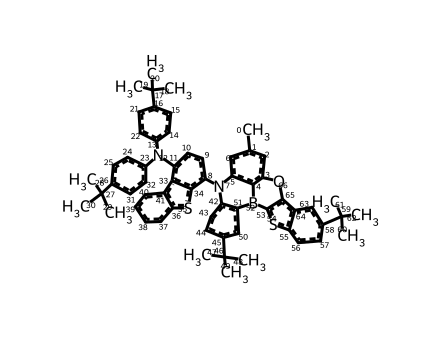 Cc1cc2c3c(c1)N(c1ccc(N(c4ccc(C(C)(C)C)cc4)c4ccc(C(C)(C)C)cc4)c4c1sc1ccccc14)c1ccc(C(C)(C)C)cc1B3c1sc3ccc(C(C)(C)C)cc3c1O2